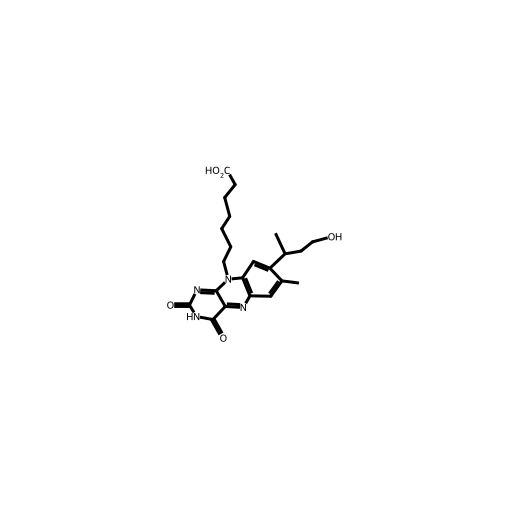 Cc1cc2nc3c(=O)[nH]c(=O)nc-3n(CCCCCCC(=O)O)c2cc1C(C)CCO